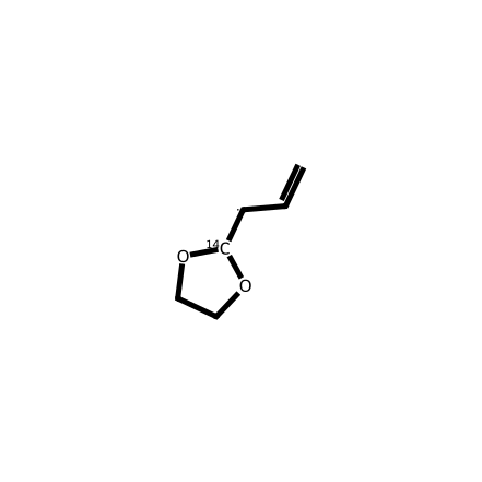 C=C[CH][14CH]1OCCO1